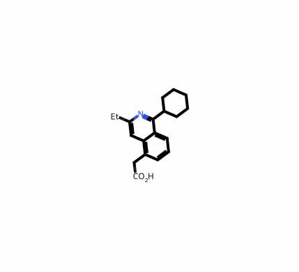 CCc1cc2c(CC(=O)O)cccc2c(C2CCCCC2)n1